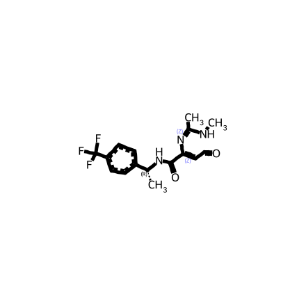 CN/C(C)=N\C(=C/C=O)C(=O)N[C@H](C)c1ccc(C(F)(F)F)cc1